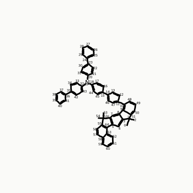 CC1(C)c2cc3c(cc2-c2c(-c4ccc(-c5ccc(N(c6ccc(-c7ccccc7)cc6)c6ccc(-c7ccccc7)cc6)cc5)cc4)cccc21)C(C)(C)c1ccc2ccccc2c1-3